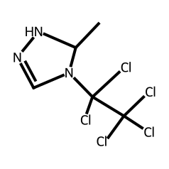 CC1NN=CN1C(Cl)(Cl)C(Cl)(Cl)Cl